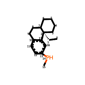 CC[C@@]12CCCCC1CCc1ccc(PC)cc12